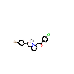 C[n+]1c(CC(=O)c2ccc(Cl)cc2)cccc1CC(=O)c1ccc(Br)cc1